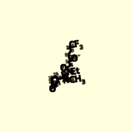 CCN(C(=O)CC[S+]([O-])CCCC(F)(F)F)c1sc(-c2ccc[n+]([O-])c2)nc1C